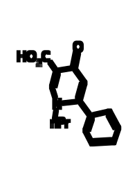 CCCn1cc(C(=O)O)c(=O)cc1-c1ccccc1